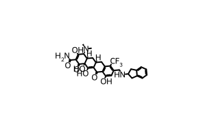 CN(C)[C@@H]1C(O)=C(C(N)=O)C(=O)[C@@]2(O)C(O)=C3C(=O)c4c(O)cc(CNC5Cc6ccccc6C5)c(C(F)(F)F)c4C[C@H]3C[C@@H]12